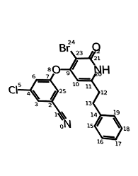 N#Cc1cc(Cl)cc(Oc2cc(CCc3ccccc3)[nH]c(=O)c2Br)c1